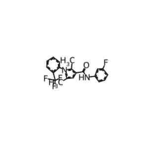 Cc1cc(C(=O)Nc2cccc(F)c2)c(C)n1-c1ccccc1C(F)(F)F